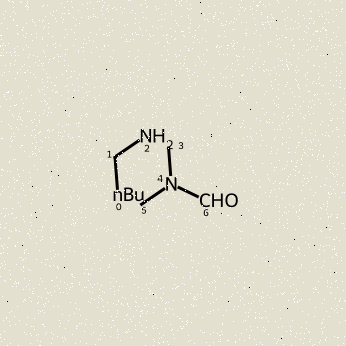 CCCCCN.CN(C)C=O